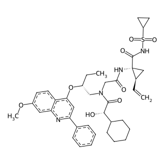 C=C[C@@H]1C[C@]1(NC(=O)CN(C[C@@H](CC)Oc1cc(-c2ccccc2)nc2cc(OC)ccc12)C(=O)[C@@H](O)C1CCCCC1)C(=O)NS(=O)(=O)C1CC1